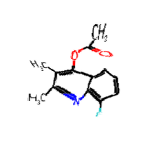 CC(=O)Oc1c(C)c(C)nc2c(F)cccc12